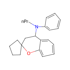 CCCN(c1ccccc1)C1CC2(CCCC2)Oc2ccccc21